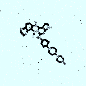 CN1CCN(C2CCN(c3ccc(Nc4nc(Nc5ccc6nccnc6c5P=O)c5cc[nH]c5n4)cc3)CC2)CC1